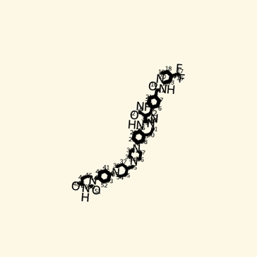 NC(=O)c1c(-c2ccc(C(=O)Nc3cc(C(F)F)ccn3)cc2)nn2c1Nc1ccc(N3CCN(CC4CCN(c5ccc(N6CCC(=O)NC6=O)cc5)CC4)CC3)cc1CC2